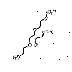 CCCCCCCCCCCCO.O=S(=O)(O)OCCOCCOCCO